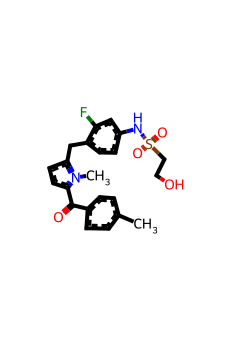 Cc1ccc(C(=O)c2ccc(Cc3ccc(NS(=O)(=O)CCO)cc3F)n2C)cc1